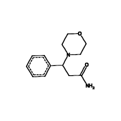 NC(=O)CC(c1ccccc1)N1CCOCC1